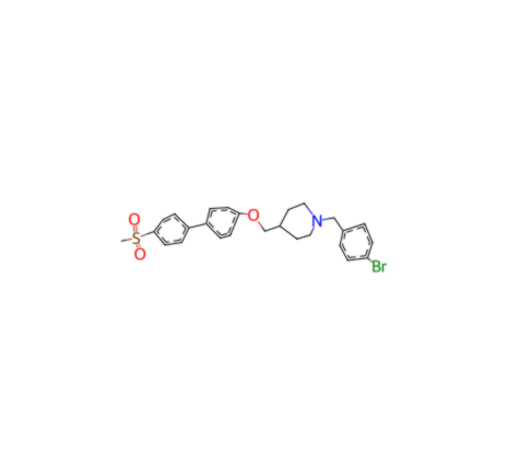 CS(=O)(=O)c1ccc(-c2ccc(OCC3CCN(Cc4ccc(Br)cc4)CC3)cc2)cc1